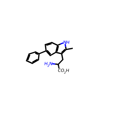 Cc1[nH]c2ccc(-c3ccccc3)cc2c1CC(N)C(=O)O